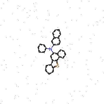 c1ccc(N(c2ccc3ccccc3c2)c2cc3c4ccccc4sc3c3ccccc23)cc1